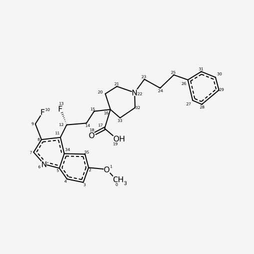 COc1ccc2ncc(CF)c([C@H](F)CCC3(C(=O)O)CCN(CCCc4ccccc4)CC3)c2c1